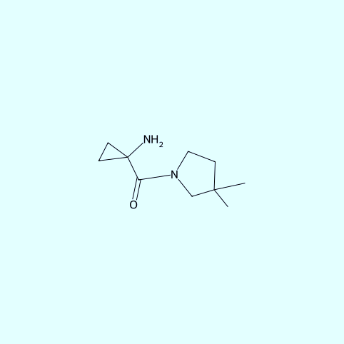 CC1(C)CCN(C(=O)C2(N)CC2)C1